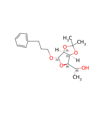 C[C@@H](O)[C@H]1O[C@H](OCCCc2ccccc2)[C@H]2OC(C)(C)O[C@H]21